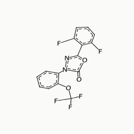 O=c1oc(-c2c(F)cccc2F)nn1-c1ccccc1OC(F)(F)F